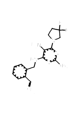 C=Cc1ccccc1CNc1nc(C(C)(C)C)nc(N2CCC(F)(F)C2)c1N